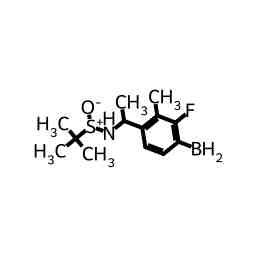 Bc1ccc(C(C)N[S+]([O-])C(C)(C)C)c(C)c1F